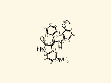 CCOc1cccc(NC(=C2C(=O)Nc3ccc(N)cc32)c2ccccc2)c1